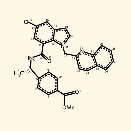 COC(=O)c1ccc([C@H](C)NC(=O)c2cc(Cl)cc3ccn(Cc4ccc5ccccc5n4)c23)cc1